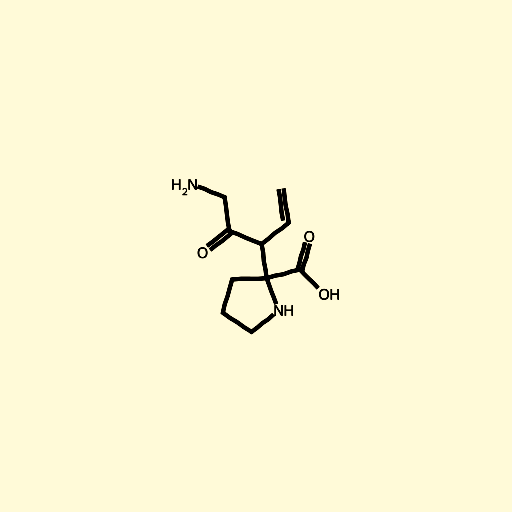 C=CC(C(=O)CN)C1(C(=O)O)CCCN1